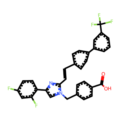 O=C(O)c1ccc(Cn2cc(-c3ccc(F)cc3F)nc2C=Cc2ccc(-c3cccc(C(F)(F)F)c3)cc2)cc1